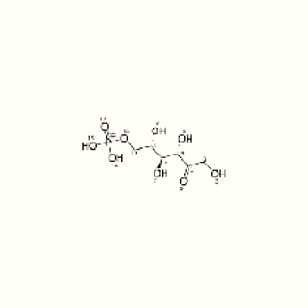 O=C(CO)[C@@H](O)[C@@H](O)[C@@H](O)COP(=O)(O)O